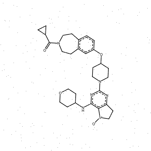 O=C(C1CC1)N1CCc2ccc(OC3CCN(c4nc5c(c(NC6CCOCC6)n4)[S+]([O-])CC5)CC3)cc2CC1